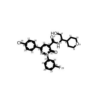 O=C(NC(CO)C1CCOCC1)c1cc(-c2ccc(Cl)cc2)nn(-c2cccc(F)c2)c1=O